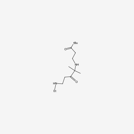 CCNCCC(=O)C(C)(C)NCCC(=O)C(C)(C)C